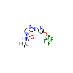 CCNC(=O)c1nccc2nn(Cc3ccc(OCC(F)(F)C(F)F)cn3)cc12